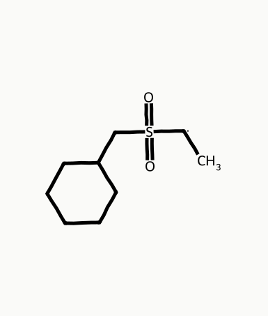 C[CH]S(=O)(=O)CC1CCCCC1